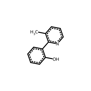 Cc1cccnc1-c1ccccc1O